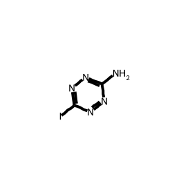 Nc1nnc(I)nn1